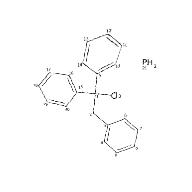 ClC(Cc1ccccc1)(c1ccccc1)c1ccccc1.P